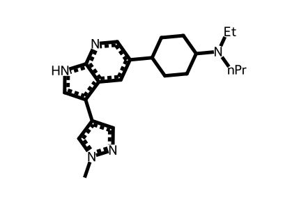 CCCN(CC)C1CCC(c2cnc3[nH]cc(-c4cnn(C)c4)c3c2)CC1